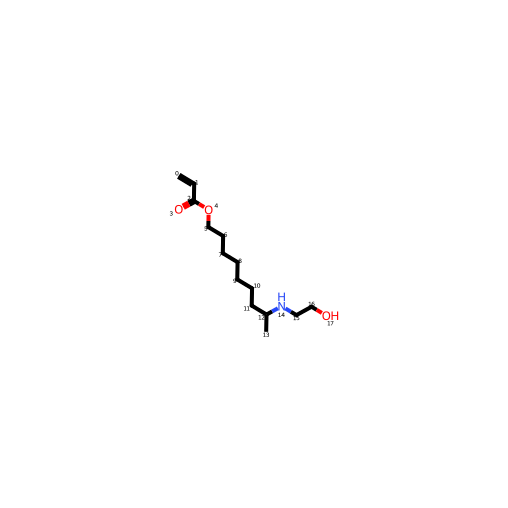 C=CC(=O)OCCCCCCCC(C)NCCO